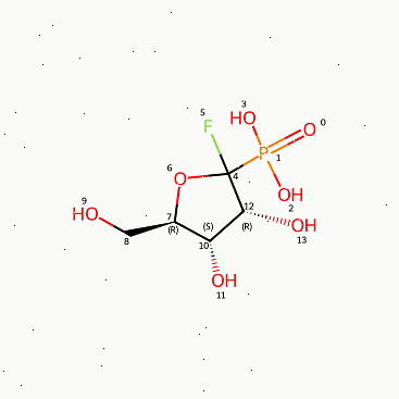 O=P(O)(O)C1(F)O[C@H](CO)[C@@H](O)[C@H]1O